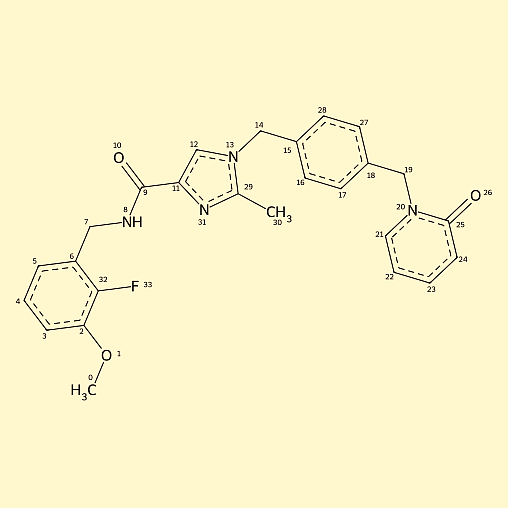 COc1cccc(CNC(=O)c2cn(Cc3ccc(Cn4ccccc4=O)cc3)c(C)n2)c1F